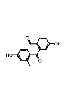 Cc1cc(O)ccc1C(=O)c1cc(O)ccc1C=O